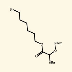 CCCCCCOC(CCCC)C(=O)OCCCCCCBr